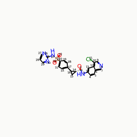 O=C(Nc1ccc2cncc(Cl)c2c1)[C@@H]1CC1c1ccc(S(=O)(=O)Nc2ncccn2)cc1